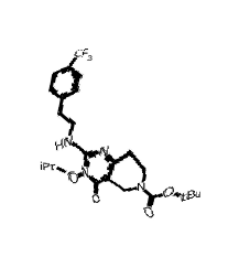 CC(C)On1c(NCCc2ccc(C(F)(F)F)cc2)nc2c(c1=O)CN(C(=O)OC(C)(C)C)CC2